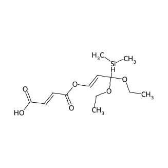 CCOC(C=COC(=O)C=CC(=O)O)(OCC)[SiH](C)C